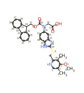 COc1c(C)cnc(CSc2nc3cc(N(CC(=O)O)C(=O)OCC4c5ccccc5-c5ccccc54)ccc3[nH]2)c1C